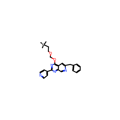 C[Si](C)(C)CCOCOc1nc(-c2ccncc2)nc2cnc(Cc3ccccc3)cc12